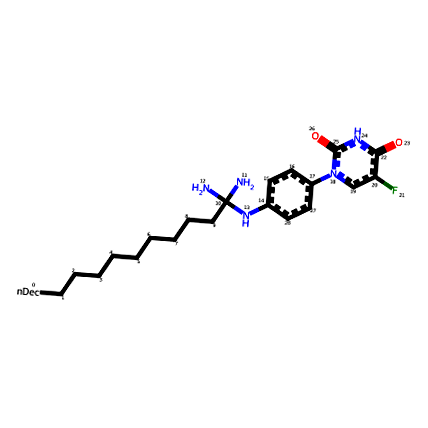 CCCCCCCCCCCCCCCCCCCC(N)(N)Nc1ccc(-n2cc(F)c(=O)[nH]c2=O)cc1